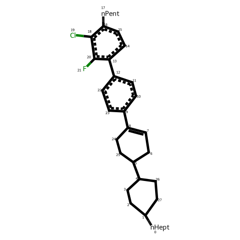 CCCCCCCC1CCC(C2CC=C(c3ccc(-c4ccc(CCCCC)c(Cl)c4F)cc3)CC2)CC1